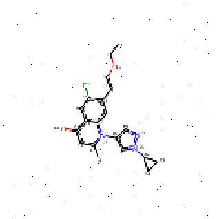 CCO/C=C/c1cc2c(cc1F)c(=O)cc(C)n2-c1cnn(C2CC2)c1